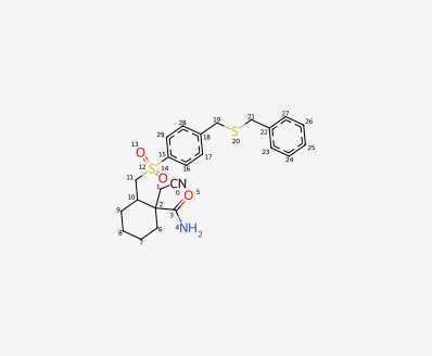 N#CCC1(C(N)=O)CCCCC1CS(=O)(=O)c1ccc(CSCc2ccccc2)cc1